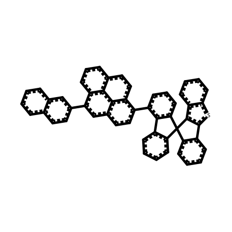 c1ccc2c(c1)-c1sc3ccccc3c1C21c2ccccc2-c2c(-c3ccc4cc(-c5ccc6ccccc6c5)c5cccc6ccc3c4c65)cccc21